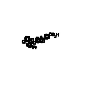 Cc1cc(OCc2c(C(C)C)noc2-c2c(Cl)cccc2Cl)nnc1N(C)C(=O)c1ccc(C(=O)O)cc1